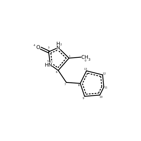 Cc1[nH]c(=O)[nH]c1Cc1ccccc1